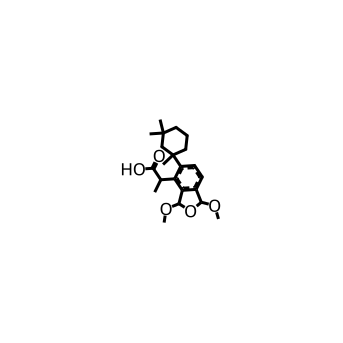 COC1OC(OC)c2c1ccc(C1(C)CCCC(C)(C)C1)c2C(C)C(=O)O